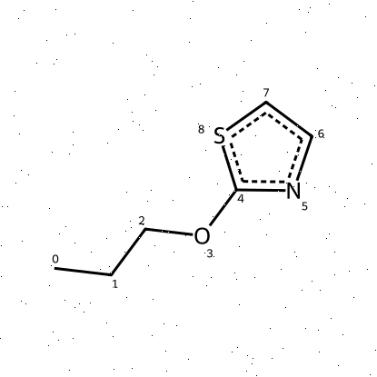 CCCOc1nccs1